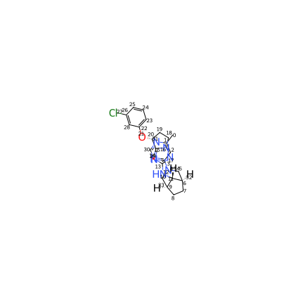 Cc1cc(N2C[C@H]3CC[C@@H](C2)[C@@H]3Nc2nc3n(n2)CC[C@H]3Oc2cccc(Cl)c2)ncn1